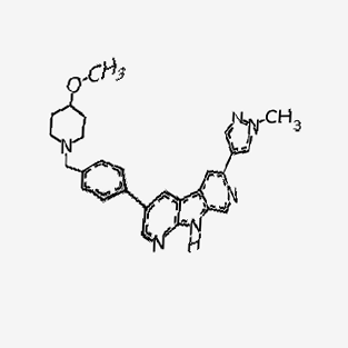 COC1CCN(Cc2ccc(-c3cnc4[nH]c5cnc(-c6cnn(C)c6)cc5c4c3)cc2)CC1